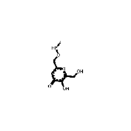 O=c1cc(COPI)oc(CO)c1O